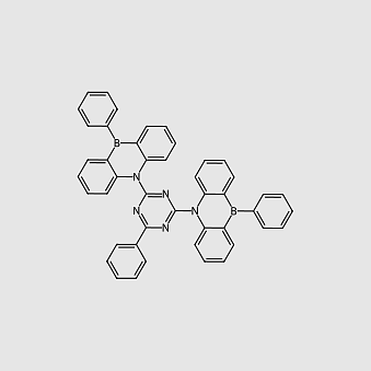 c1ccc(B2c3ccccc3N(c3nc(-c4ccccc4)nc(N4c5ccccc5B(c5ccccc5)c5ccccc54)n3)c3ccccc32)cc1